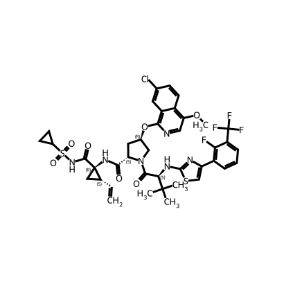 C=C[C@@H]1C[C@]1(NC(=O)[C@@H]1C[C@@H](Oc2ncc(OC)c3ccc(Cl)cc23)CN1C(=O)[C@@H](Nc1nc(-c2cccc(C(F)(F)F)c2F)cs1)C(C)(C)C)C(=O)NS(=O)(=O)C1CC1